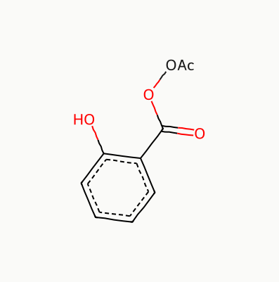 CC(=O)OOC(=O)c1ccccc1O